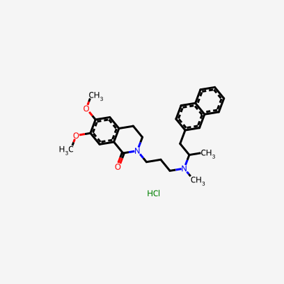 COc1cc2c(cc1OC)C(=O)N(CCCN(C)C(C)Cc1ccc3ccccc3c1)CC2.Cl